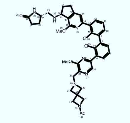 COc1nc(-c2cccc(-c3cccc(-c4cc5c(c(OC)n4)[C@@H](NC[C@@H]4CCC(=O)N4)CC5)c3Cl)c2Cl)cnc1CN1CC2(C1)CN(C(C)=O)C2